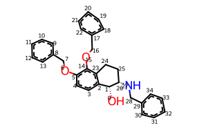 O[C@@H]1c2ccc(OCc3ccccc3)c(OCc3ccccc3)c2CC[C@@H]1NCc1ccccc1